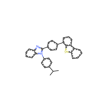 CC(C)c1ccc(-n2c(-c3ccc(-c4cccc5c4sc4ccccc45)cc3)nc3ccccc32)cc1